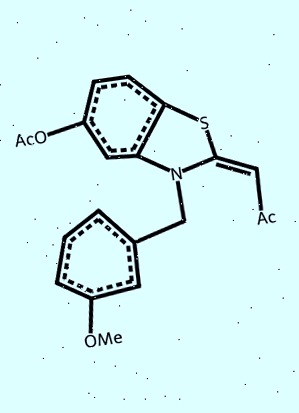 COc1cccc(CN2C(=CC(C)=O)Sc3ccc(OC(C)=O)cc32)c1